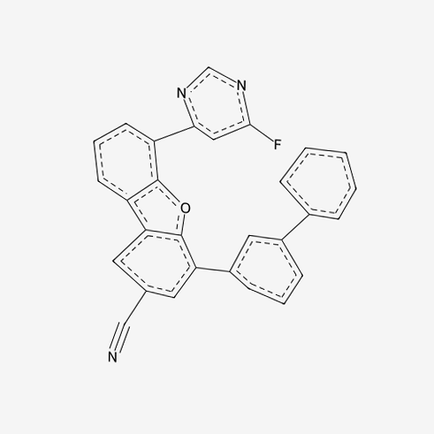 N#Cc1cc(-c2cccc(-c3ccccc3)c2)c2oc3c(-c4cc(F)ncn4)cccc3c2c1